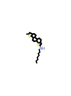 CCCCCCCCNc1cc2ccc3c4ccc5cc(C)sc5c4ccc3c2s1